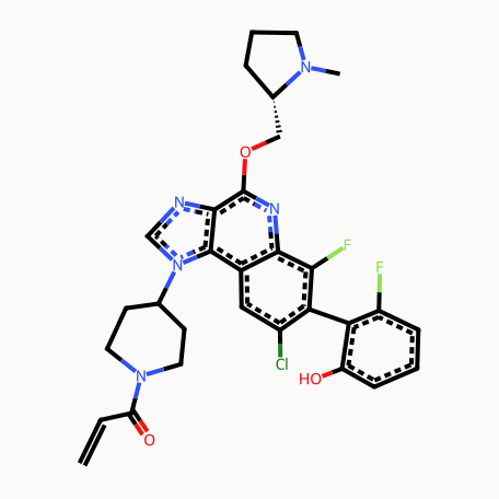 C=CC(=O)N1CCC(n2cnc3c(OC[C@@H]4CCCN4C)nc4c(F)c(-c5c(O)cccc5F)c(Cl)cc4c32)CC1